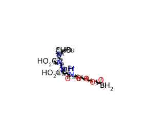 BC(=O)CCOCCOCCOCCNC(=O)CCC(C(=O)O)N(CCC)CCN(CCN(CC=O)CCC(C)CC)CC(=O)O